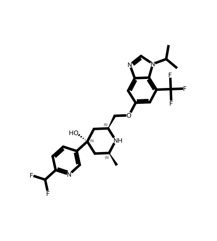 CC(C)n1cnc2cc(OC[C@@H]3C[C@](O)(c4ccc(C(F)F)nc4)C[C@H](C)N3)cc(C(F)(F)F)c21